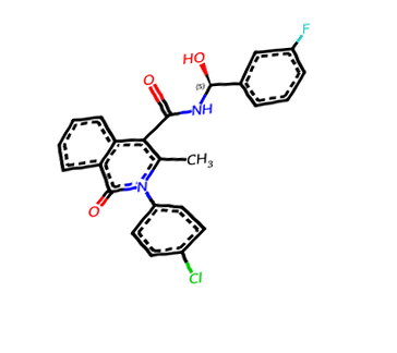 Cc1c(C(=O)N[C@@H](O)c2cccc(F)c2)c2ccccc2c(=O)n1-c1ccc(Cl)cc1